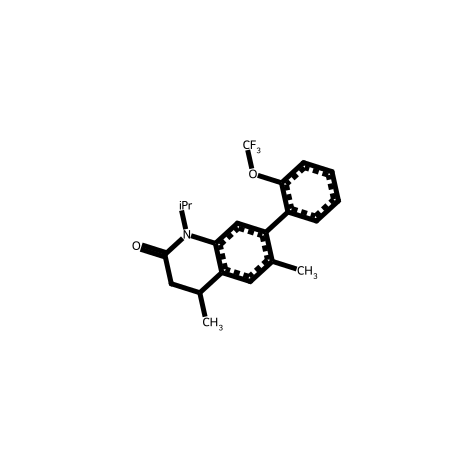 Cc1cc2c(cc1-c1ccccc1OC(F)(F)F)N(C(C)C)C(=O)CC2C